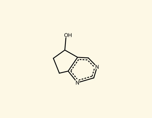 OC1CCc2ncncc21